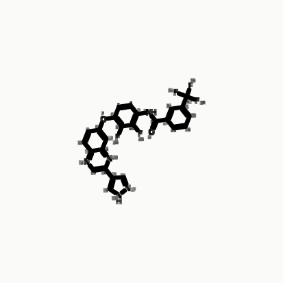 O=C(Nc1ccc(Oc2ccc3ncc(-c4cn[nH]c4)nc3c2)c(F)c1F)c1cccc(C(F)(F)F)c1